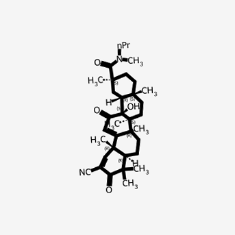 CCCN(C)C(=O)[C@@]1(C)CC[C@]2(C)CC[C@@]3(C)[C@]4(C)CC[C@H]5C(C)(C)C(=O)C(C#N)=C[C@]5(C)C4=CC(=O)[C@]3(O)[C@@H]2C1